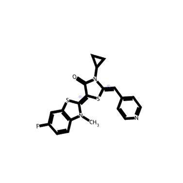 CN1/C(=c2\s/c(=C\c3ccncc3)n(C3CC3)c2=O)Sc2cc(F)ccc21